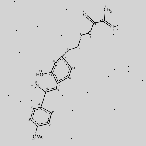 C=C(C)C(=O)OCCCc1ccc(/C=C(\N)c2ccc(OC)cc2)c(O)c1